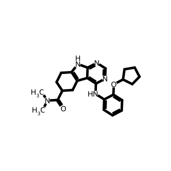 CN(C)C(=O)C1CCc2[nH]c3ncnc(Nc4ccccc4OC4CCCC4)c3c2C1